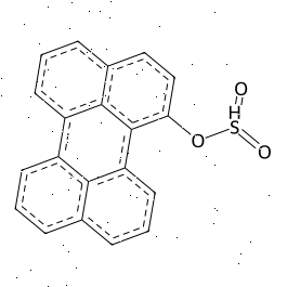 O=[SH](=O)Oc1ccc2cccc3c4cccc5cccc(c1c23)c54